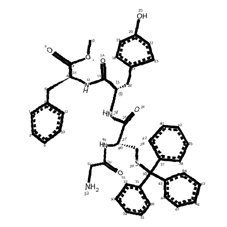 COC(=O)[C@H](Cc1ccccc1)NC(=O)[C@H](Cc1ccc(O)cc1)NC(=O)[C@H](CSC(c1ccccc1)(c1ccccc1)c1ccccc1)NC(=O)CN